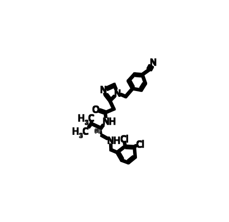 CC(C)[C@@H](CNCc1cccc(Cl)c1Cl)NC(=O)Cc1cncn1Cc1ccc(C#N)cc1